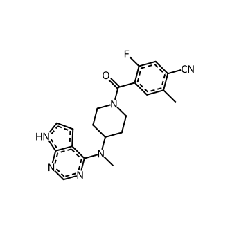 Cc1cc(C(=O)N2CCC(N(C)c3ncnc4[nH]ccc34)CC2)c(F)cc1C#N